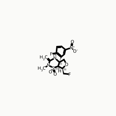 C=C1N[C@@]2(c3cc([N+](=O)[O-])ccc3F)CO[C@@H](CF)[C@H]2S(=O)(=O)N1C